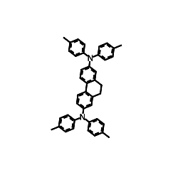 Cc1ccc(N(c2ccc(C)cc2)c2ccc3c(c2)CCc2cc(N(c4ccc(C)cc4)c4ccc(C)cc4)ccc2-3)cc1